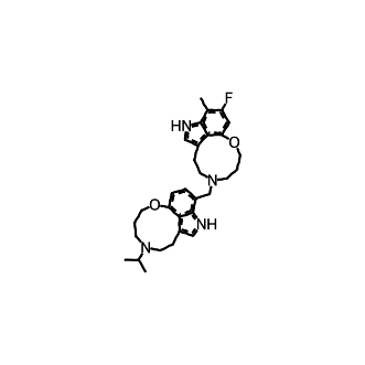 Cc1c(F)cc2c3c(c[nH]c13)CCN(Cc1ccc3c4c(c[nH]c14)CCN(C(C)C)CCCO3)CCCO2